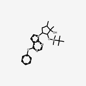 CC1CC(n2ccc3c(Oc4ccccc4)ncnc32)C(O[Si](C)(C)C(C)(C)C)C1(C)O